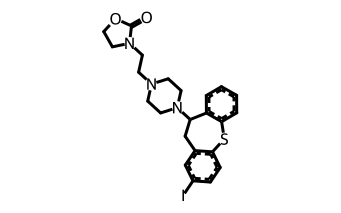 O=C1OCCN1CCN1CCN(C2Cc3cc(I)ccc3Sc3ccccc32)CC1